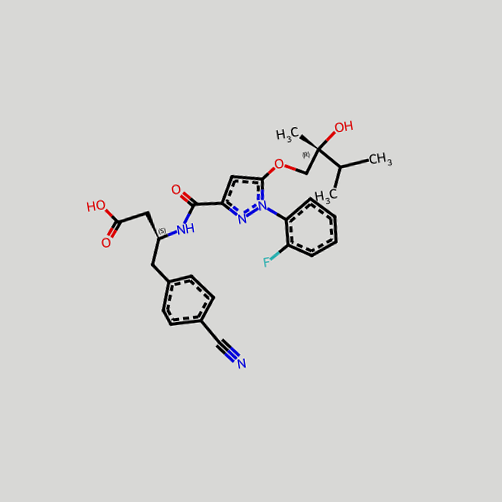 CC(C)[C@@](C)(O)COc1cc(C(=O)N[C@H](CC(=O)O)Cc2ccc(C#N)cc2)nn1-c1ccccc1F